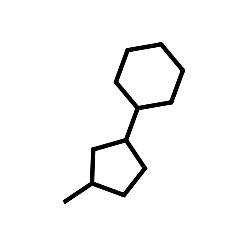 CC1CCC(C2CCCCC2)C1